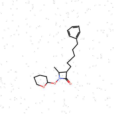 CC1C(CCCCCc2ccccc2)C(=O)N1OC1CCCCO1